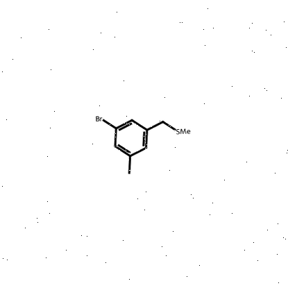 CSCc1cc(C)cc(Br)c1